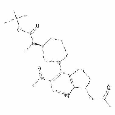 CC(=O)OC1CCc2c1ncc([N+](=O)[O-])c2N1CCC[C@H](N(F)C(=O)OC(C)(C)C)C1